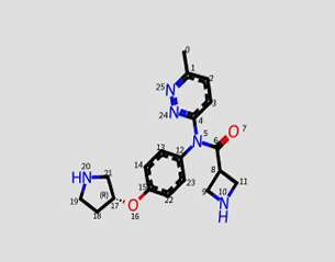 Cc1ccc(N(C(=O)C2CNC2)c2ccc(O[C@@H]3CCNC3)cc2)nn1